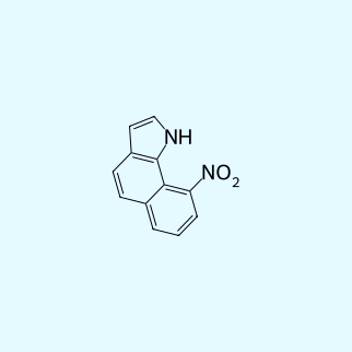 O=[N+]([O-])c1cccc2ccc3cc[nH]c3c12